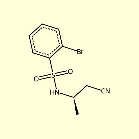 C[C@H](CC#N)NS(=O)(=O)c1ccccc1Br